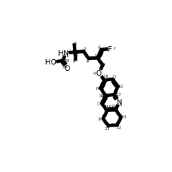 CC(C)(CC/C(=C/F)COc1ccc2nc3c(cc2c1)CCCC3)NC(=O)O